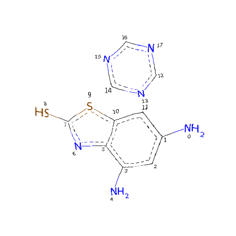 Nc1cc(N)c2nc(S)sc2c1.c1ncncn1